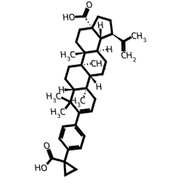 C=C(C)[C@@H]1CC[C@]2(C(=O)O)CC[C@]3(C)[C@H](CC[C@@H]4[C@@]5(C)CC=C(c6ccc(C7(C(=O)O)CC7)cc6)C(C)(C)[C@@H]5CC[C@]43C)[C@@H]12